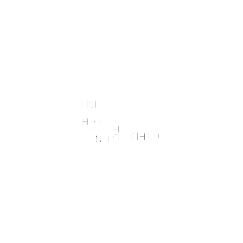 Cl.Cl.N.O.O.[Cu]